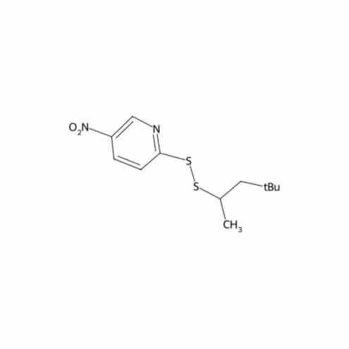 CC(CC(C)(C)C)SSc1ccc([N+](=O)[O-])cn1